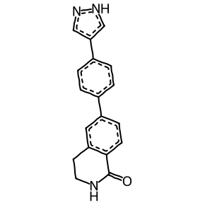 O=C1NCCc2cc(-c3ccc(-c4cn[nH]c4)cc3)ccc21